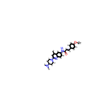 Cc1cc(N2CCC(N(C)C)CC2)nc2ccc(NC(=O)/C=C/c3ccc(OC(C)C)cc3)cc12